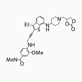 CCc1c(C#CCNc2ccc(C(=O)NC)cc2OC)sc2c(NC3CCN(CC4COC(=O)O4)CC3)cccc12